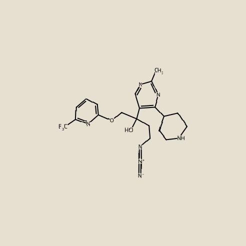 Cc1ncc(C(O)(CCN=[N+]=[N-])COc2cccc(C(F)(F)F)n2)c(C2CCNCC2)n1